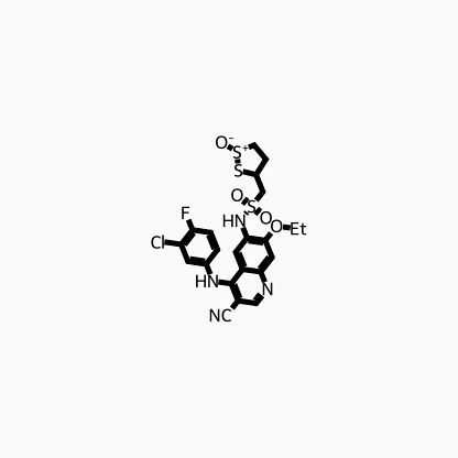 CCOc1cc2ncc(C#N)c(Nc3ccc(F)c(Cl)c3)c2cc1NS(=O)(=O)CC1CC[S+]([O-])S1